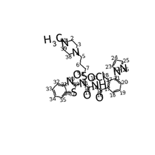 CN1CCN(CCCS(=O)(=O)N(C(=O)NC(=O)c2cccc(-n3cccn3)c2Cl)c2nc3ccccc3s2)CC1